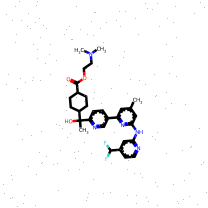 Cc1cc(Nc2cc(C(F)F)ccn2)nc(-c2ccc(C(C)(O)C3CCC(C(=O)OCCN(C)C)CC3)nc2)c1